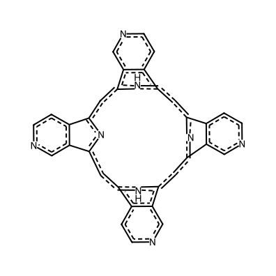 c1cc2c(cn1)-c1cc3[nH]c(cc4nc(cc5[nH]c(cc-2n1)c1cnccc51)-c1ccncc1-4)c1cnccc31